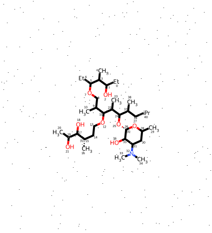 CCC(O)C(C)C(CC)OCC(C)C(OCC[C@H](C)C(O)C(C)O)C(C)C(O[C@@H]1OC(C)CC(N(C)C)C1O)C(C)CC(C)C